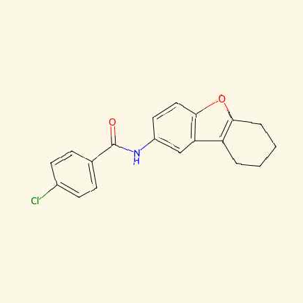 O=C(Nc1ccc2oc3c(c2c1)CCCC3)c1ccc(Cl)cc1